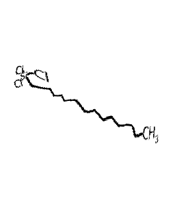 CCCCCCCCCCCCCC[Si](Cl)(Cl)Cl